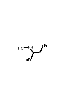 CCCCC(CCC)NO